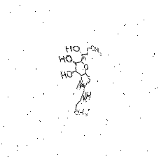 CCC[C@@H](O)C1OC2SC(NCC)=NC2C(O)C1O